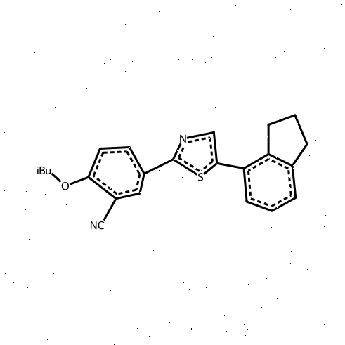 CCC(C)Oc1ccc(-c2ncc(-c3cccc4c3CCC4)s2)cc1C#N